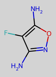 Nc1noc(N)c1F